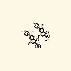 CCn1cc(C(=O)O)c(=O)c2cc(F)c(N3CCN(C)CC3)cc21.CCn1cc(C(=O)O)c(=O)c2cc(F)c(N3CCNCC3)cc21